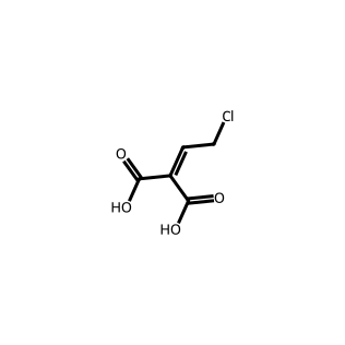 O=C(O)C(=CCCl)C(=O)O